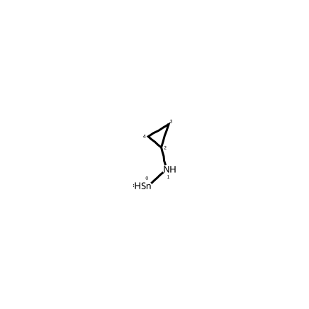 [SnH][NH]C1CC1